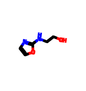 OCCNc1ncco1